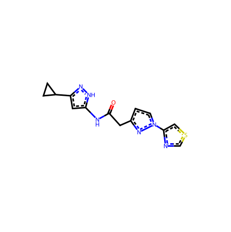 O=C(Cc1ccn(-c2cscn2)n1)Nc1cc(C2CC2)n[nH]1